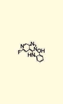 Oc1ccccc1Nc1ncnc2cnc(F)cc12